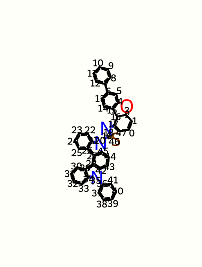 C1=CC2Oc3cc(-c4ccccc4)ccc3C2c2nc(-n3c4ccccc4c4c5c6ccccc6n(-c6ccccc6)c5ccc43)sc21